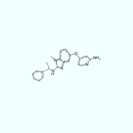 CC(Nc1nc2cc(Oc3ccnc(N)c3)ccc2n1C)c1ccccc1